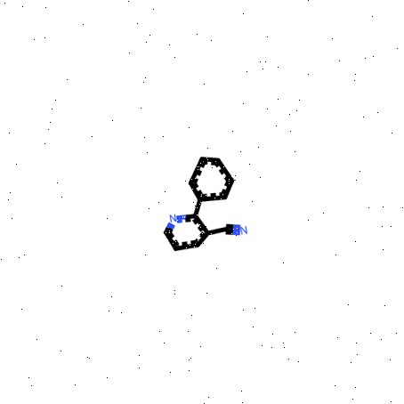 N#Cc1cccnc1-c1c[c]ccc1